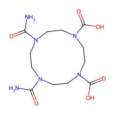 NC(=O)N1CCN(C(N)=O)CCN(C(=O)O)CCN(C(=O)O)CC1